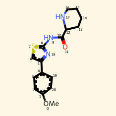 COc1ccc(-c2csc(NC(=O)C3CCCCN3)n2)cc1